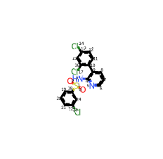 O=S(=O)(Nc1ncccc1-c1ccc(Cl)cc1Cl)c1cccc(Cl)c1